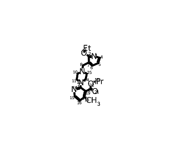 CCOc1ncccc1CN1CCN(c2nccc(C)c2C(=O)OC(C)C)CC1